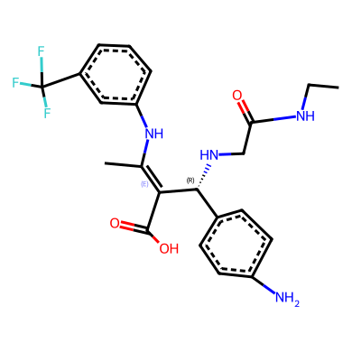 CCNC(=O)CN[C@@H](/C(C(=O)O)=C(/C)Nc1cccc(C(F)(F)F)c1)c1ccc(N)cc1